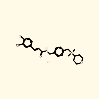 C[N+](C)(Cc1ccc(CNC(=O)C=Cc2ccc(Cl)c(Cl)c2)cc1)C1CCOCC1.[Cl-]